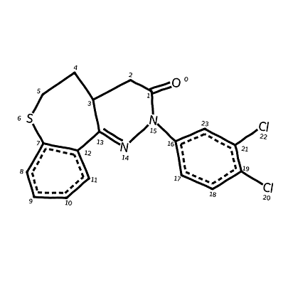 O=C1CC2CCSc3ccccc3C2=NN1c1ccc(Cl)c(Cl)c1